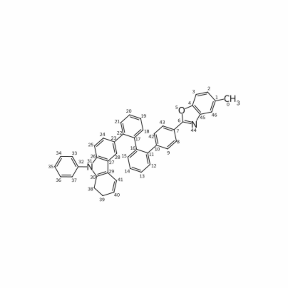 Cc1ccc2oc(-c3ccc(-c4ccccc4-c4ccccc4-c4ccc5c(c4)c4c(n5-c5ccccc5)CCC=C4)cc3)nc2c1